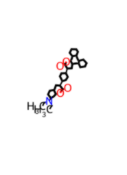 CCN(CC)c1ccc2cc(-c3ccc(-c4cc5c6ccccc6c6ccccc6c5oc4=O)cc3)c(=O)oc2c1